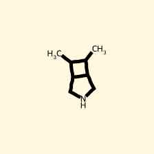 CC1C(C)C2CNCC12